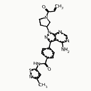 C=CC(=O)N1CCC(n2nc(-c3ccc(C(=O)Nc4cc(C)ns4)cc3)c3c(N)ncnc32)C1